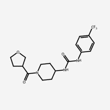 O=C(Nc1ccc(C(F)(F)F)cc1)NC1CCN(C(=O)C2CCOC2)CC1